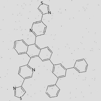 c1ccc(-c2cc(-c3ccccc3)cc(-c3ccc4c(-c5ccc(-c6cscn6)cn5)c5ccccc5c(-c5ccc(-c6cscn6)cn5)c4c3)c2)cc1